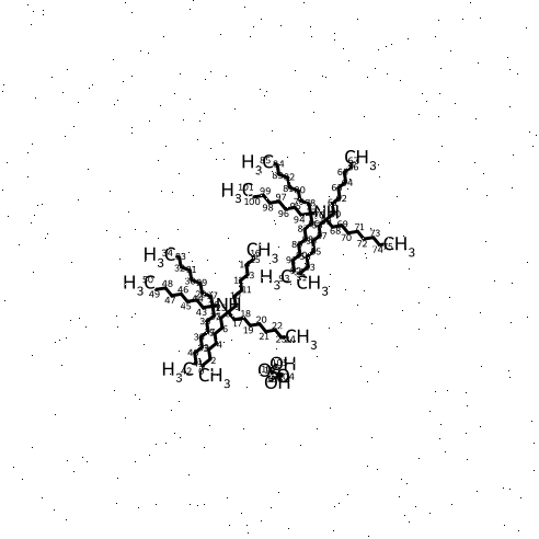 CCCCCCCCC(CCCCCCCC)(CCCCCCCC)NC(CCCCCCCC)(CCCCCCCC)CCCCCCCC.CCCCCCCCC(CCCCCCCC)(CCCCCCCC)NC(CCCCCCCC)(CCCCCCCC)CCCCCCCC.O=S(=O)(O)O